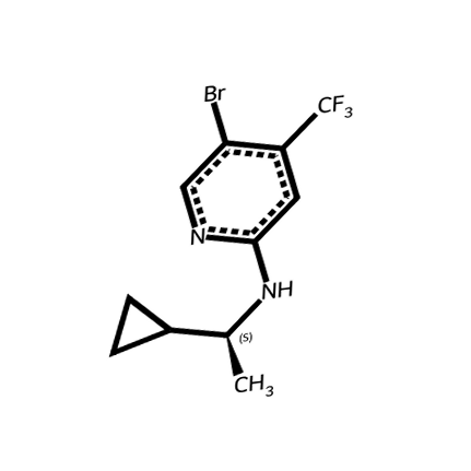 C[C@H](Nc1cc(C(F)(F)F)c(Br)cn1)C1CC1